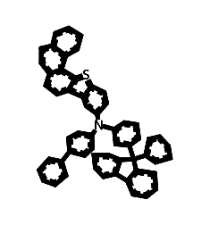 c1ccc(-c2ccc(N(c3cccc(C4(c5ccccc5)c5ccccc5-c5ccccc54)c3)c3ccc4sc5c(ccc6ccc7ccccc7c65)c4c3)cc2)cc1